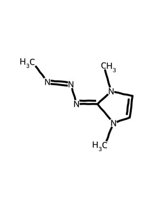 C/N=N/N=c1n(C)ccn1C